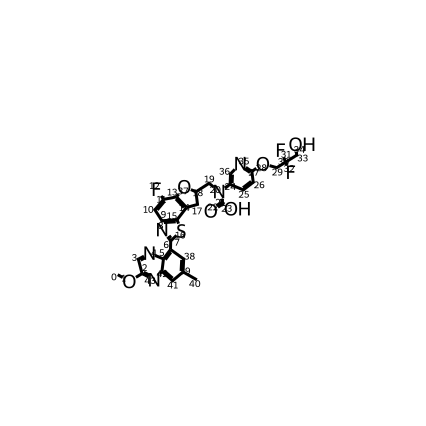 COc1cnc2c(-c3nc4cc(F)c5c(c4s3)CC(CN(C(=O)O)c3ccc(OCC(F)(F)CO)nc3)O5)cc(C)cc2n1